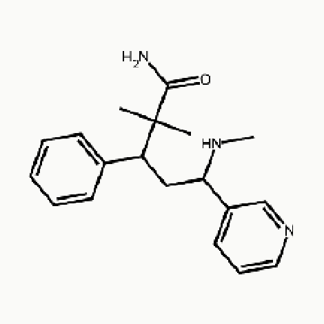 CNC(CC(c1ccccc1)C(C)(C)C(N)=O)c1cccnc1